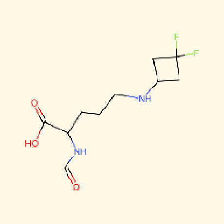 O=CNC(CCCNC1CC(F)(F)C1)C(=O)O